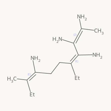 CC/C(C)=C(/N)CC/C(CC)=C(N)\C(N)=C(/C)N